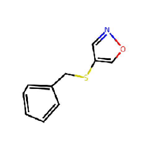 c1ccc(CSc2cnoc2)cc1